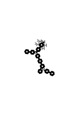 [2H]c1c([2H])c([2H])c(-c2ccc(N(c3ccc(-c4ccccc4)cc3)c3ccc(-c4ccc(-c5ccc6c(c5)c5ccccc5n6-c5ccc(-c6ccccc6)cc5)cc4)cc3)cc2)c([2H])c1[2H]